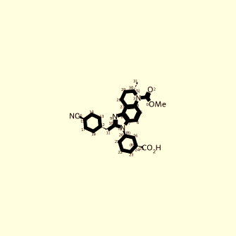 COC(=O)N1c2ccc3c(nc(C[C@H]4CC[C@H](C#N)CC4)n3[C@@H]3CCC[C@@H](C(=O)O)C3)c2CC[C@@H]1C